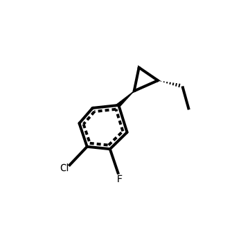 CC[C@H]1C[C@@H]1c1ccc(Cl)c(F)c1